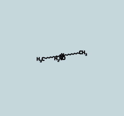 CCCCCCCCCCCCN=NCCCCCCCCCCCC.NC=O